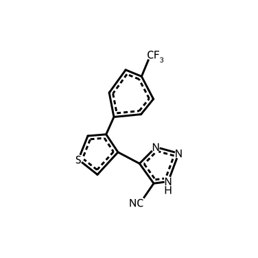 N#Cc1[nH]nnc1-c1cscc1-c1ccc(C(F)(F)F)cc1